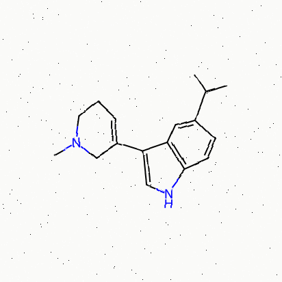 CC(C)c1ccc2[nH]cc(C3=CCCN(C)C3)c2c1